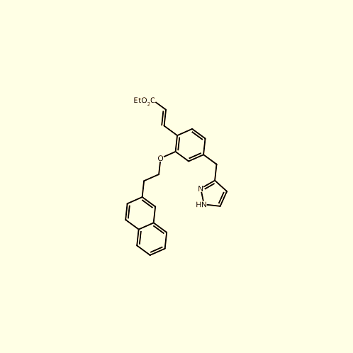 CCOC(=O)C=Cc1ccc(Cc2cc[nH]n2)cc1OCCc1ccc2ccccc2c1